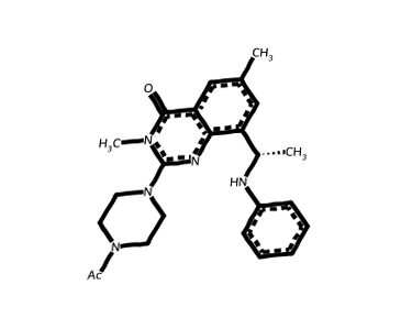 CC(=O)N1CCN(c2nc3c([C@H](C)Nc4ccccc4)cc(C)cc3c(=O)n2C)CC1